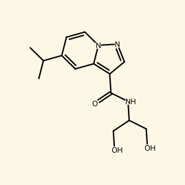 CC(C)c1ccn2ncc(C(=O)NC(CO)CO)c2c1